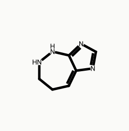 C1=NC2=CCCNNC2=N1